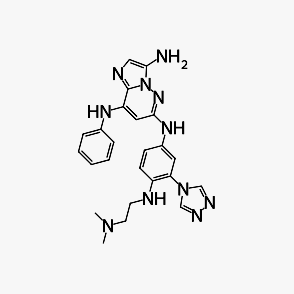 CN(C)CCNc1ccc(Nc2cc(Nc3ccccc3)c3ncc(N)n3n2)cc1-n1cnnc1